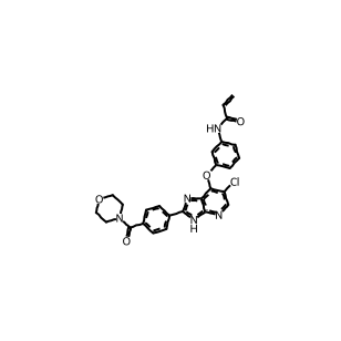 C=CC(=O)Nc1cccc(Oc2c(Cl)cnc3[nH]c(-c4ccc(C(=O)N5CCOCC5)cc4)nc23)c1